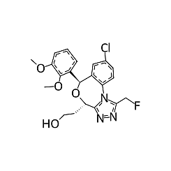 COc1cccc([C@@H]2O[C@@H](CCO)c3nnc(CF)n3-c3ccc(Cl)cc32)c1OC